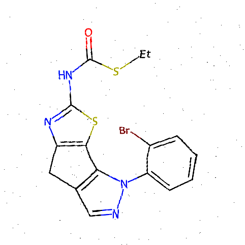 CCSC(=O)Nc1nc2c(s1)-c1c(cnn1-c1ccccc1Br)C2